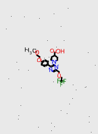 COCCOc1ccc(-c2ncc(COCC(F)(F)F)nc2N2CCC(C(=O)O)CC2)cc1